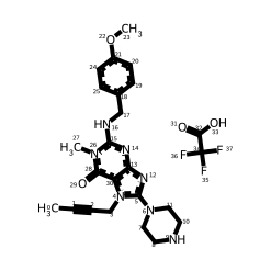 CC#CCn1c(N2CCNCC2)nc2nc(NCc3ccc(OC)cc3)n(C)c(=O)c21.O=C(O)C(F)(F)F